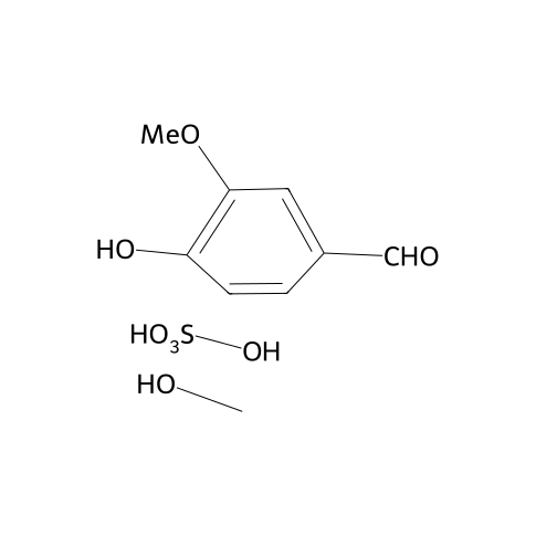 CO.COc1cc(C=O)ccc1O.O=S(=O)(O)O